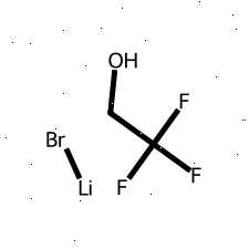 OCC(F)(F)F.[Li][Br]